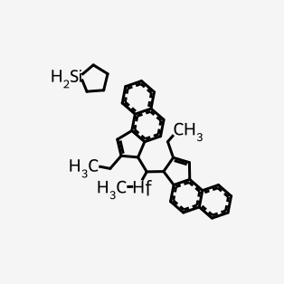 C1CC[SiH2]C1.CCC1=Cc2c(ccc3ccccc23)C1[CH]([Hf][CH3])C1C(CC)=Cc2c1ccc1ccccc21